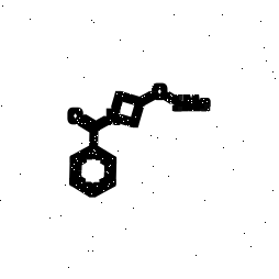 CSOC1CN(C(=O)c2ccccc2)C1